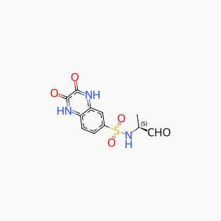 C[C@@H](C=O)NS(=O)(=O)c1ccc2[nH]c(=O)c(=O)[nH]c2c1